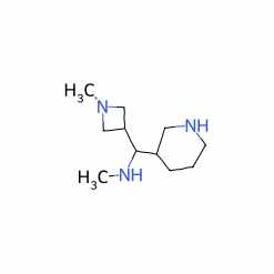 CNC(C1CCCNC1)C1CN(C)C1